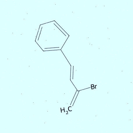 C=C(Br)C=Cc1ccccc1